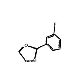 Fc1cccc(C2[N]CCO2)c1